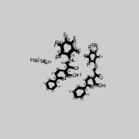 Br.Br.O=C(C=Nc1c(F)c(F)c(F)c(F)c1F)c1ccc(-c2ccccc2)nc1O.O=C(C=Nc1c(F)c(F)c(F)c(F)c1F)c1ccc(-c2ccccc2)nc1O.[Co].[Ni]